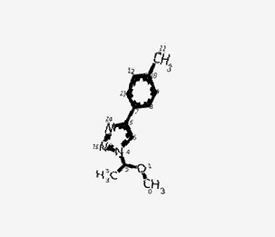 COC(C)n1cc(-c2ccc(C)cc2)nn1